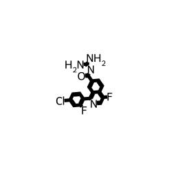 NC(N)=NC(=O)c1ccc2c(F)cnc(-c3ccc(Cl)cc3F)c2c1